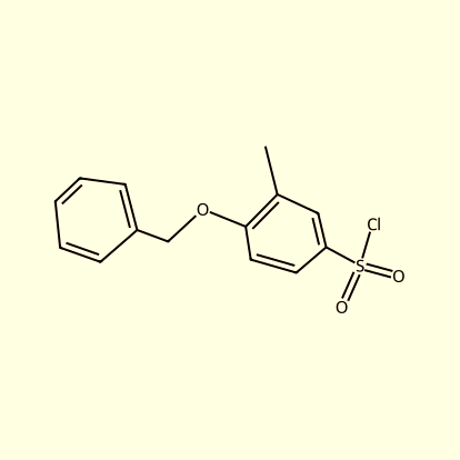 Cc1cc(S(=O)(=O)Cl)ccc1OCc1ccccc1